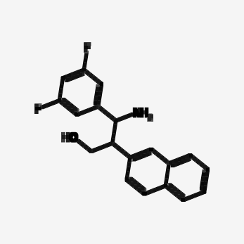 NC(c1cc(F)cc(F)c1)C(CO)c1ccc2ccccc2c1